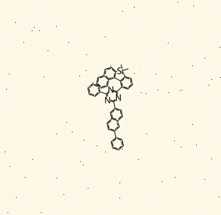 C[Si]1(C)c2cccc(-c3nc(-c4ccccc4)nc(-c4ccc5cc(-c6ccccc6)ccc5c4)n3)c2-c2c1ccc1ccccc21